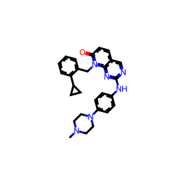 CN1CCN(c2ccc(Nc3ncc4ccc(=O)n(Cc5ccccc5C5CC5)c4n3)cc2)CC1